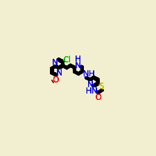 COc1ccc2ncc(Cl)c(CCC3CCC(NCc4ccc5c(n4)NC(=O)CS5)CN3)c2n1